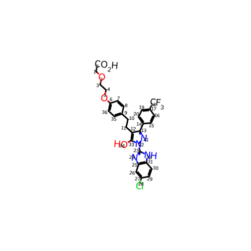 O=C(O)COCCOc1ccc(CCc2c(-c3ccc(C(F)(F)F)cc3)nn(-c3nc4cc(Cl)ccc4[nH]3)c2O)cc1